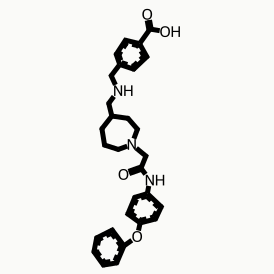 O=C(CN1CCCC(CNCc2ccc(C(=O)O)cc2)CC1)Nc1ccc(Oc2ccccc2)cc1